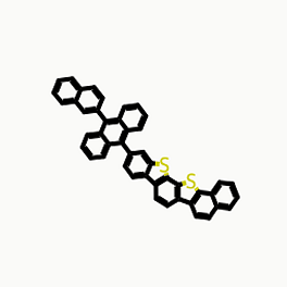 c1ccc2cc(-c3c4ccccc4c(-c4ccc5c(c4)sc4c5ccc5c6ccc7ccccc7c6sc54)c4ccccc34)ccc2c1